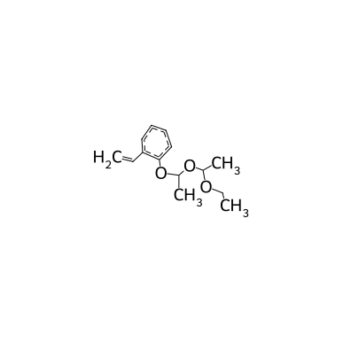 C=Cc1ccccc1OC(C)OC(C)OCC